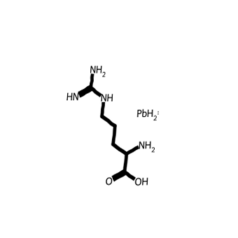 N=C(N)NCCCC(N)C(=O)O.[PbH2]